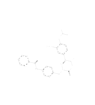 CCC1SC(=O)N(Cc2ccc(NC(=O)c3ncccn3)cc2)N=C1c1ccc(OC(F)F)c(OC)c1